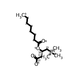 CCCCCCCC(=O)O[C@H](CC(=O)[O-])C[N+](C)(C)C